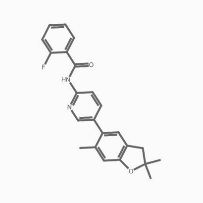 Cc1cc2c(cc1-c1ccc(NC(=O)c3ccccc3F)nc1)CC(C)(C)O2